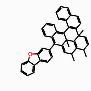 CC1C=CC2(C)C3=C1C(C)C=C1C(c4ccc5c(c4)oc4ccccc45)=c4ccccc4=C(c4c2ccc2ccccc42)C13C